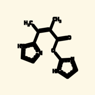 CC(C(=O)Oc1ncc[nH]1)=C(C)c1ncc[nH]1